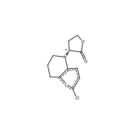 O=C1OCC[C@@H]1N1CCCc2cc(Cl)ccc21